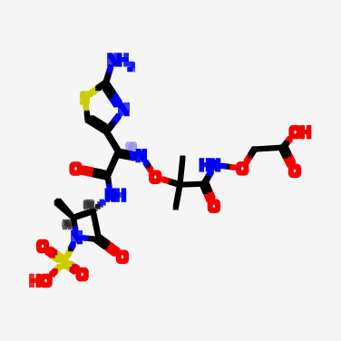 C[C@H]1[C@H](NC(=O)/C(=N\OC(C)(C)C(=O)NOCC(=O)O)c2csc(N)n2)C(=O)N1S(=O)(=O)O